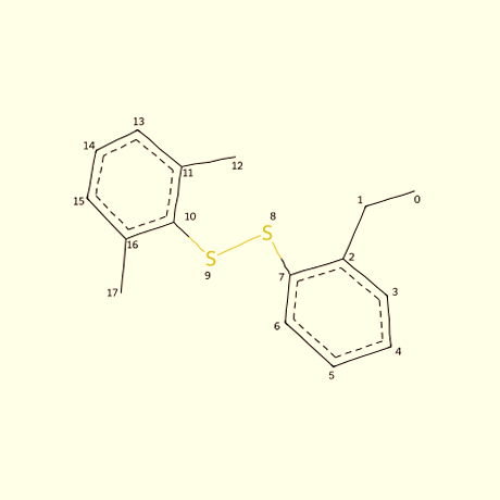 CCc1ccccc1SSc1c(C)cccc1C